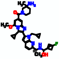 COc1cc(C(=O)N2CCCC(C)(N)C2)cc2nc(-c3cc4ccc([C@@H](C)NC(O)C56CC(F)(C5)C6)nc4n3CC3CC3)c(C3CC3)n12